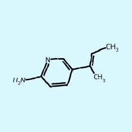 CC=C(C)c1ccc(N)nc1